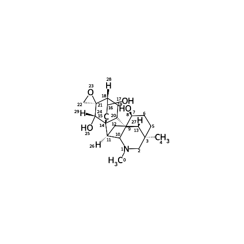 CN1C[C@]2(C)CC[C@H](O)[C@]34C1[C@H](C[C@H]23)[C@@]12CC(O)[C@@H](CC14)[C@@]1(CO1)[C@H]2O